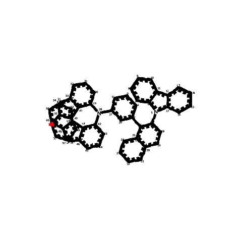 c1cc(-c2c(-n3c4ccccc4c4ccccc43)ccc3ccccc23)cc(N(c2cccc3sc4ccccc4c23)c2cccc3sc4ccccc4c23)c1